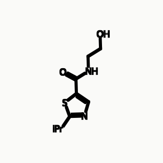 CC(C)c1ncc(C(=O)NCCO)s1